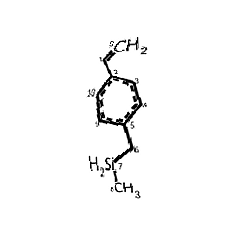 C=Cc1ccc(C[SiH2]C)cc1